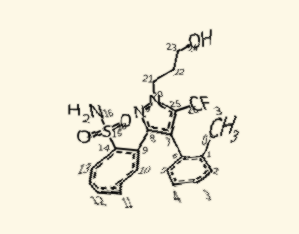 Cc1ccccc1-c1c(-c2ccccc2S(N)(=O)=O)nn(CCCO)c1C(F)(F)F